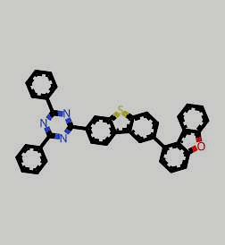 c1ccc(-c2nc(-c3ccccc3)nc(-c3ccc4c(c3)sc3ccc(-c5cccc6oc7ccccc7c56)cc34)n2)cc1